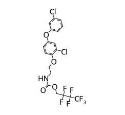 O=C(NCCOc1ccc(Oc2cccc(Cl)c2)cc1Cl)OCC(F)(F)C(F)(F)C(F)(F)F